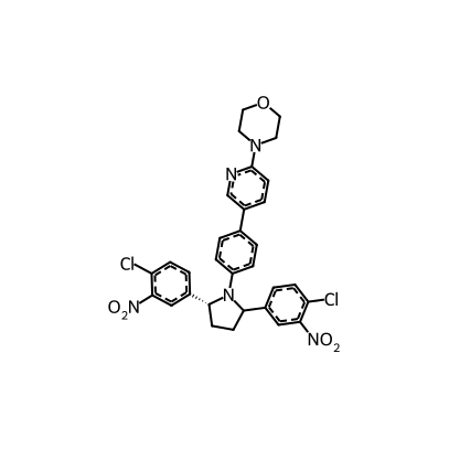 O=[N+]([O-])c1cc(C2CC[C@H](c3ccc(Cl)c([N+](=O)[O-])c3)N2c2ccc(-c3ccc(N4CCOCC4)nc3)cc2)ccc1Cl